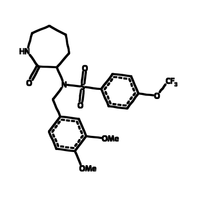 COc1ccc(CN(C2CCCCNC2=O)S(=O)(=O)c2ccc(OC(F)(F)F)cc2)cc1OC